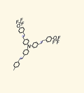 Cc1ccc(/C=C/c2ccc(N(c3ccc(/C=C/c4ccc(OC(F)(F)F)cc4)cc3)c3ccc(/C=C/c4ccc(OC(F)(F)F)cc4)cc3)cc2)cc1